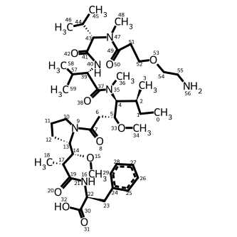 CC[C@H](C)[C@@H]([C@@H](CC(=O)N1CCC[C@H]1[C@H](OC)[C@@H](C)C(=O)N[C@@H](Cc1ccccc1)C(=O)O)OC)N(C)C(=O)[C@@H](NC(=O)[C@H](C(C)C)N(C)C(=O)CCOCCN)C(C)C